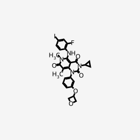 Cc1c(=O)n(C)c(Nc2ccc(I)cc2F)c2c(=O)n(C3CC3)c(=O)n(-c3cccc(OC4COC4)c3)c12